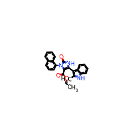 CCOC(=O)c1c(-c2c(C)[nH]c3ccccc23)[nH]c(=O)n1-c1cccc2ccccc12